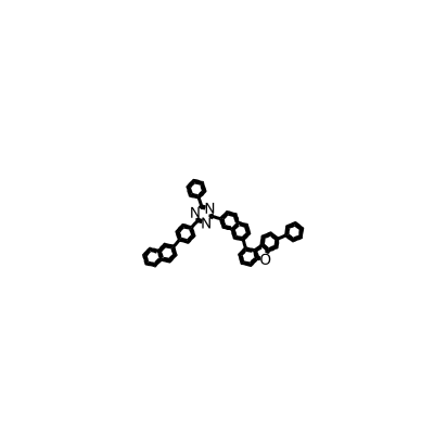 c1ccc(-c2ccc3c(c2)oc2cccc(-c4ccc5ccc(-c6nc(-c7ccccc7)nc(-c7ccc(-c8ccc9ccccc9c8)cc7)n6)cc5c4)c23)cc1